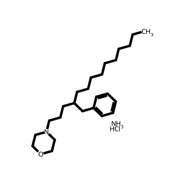 CCCCCCCCCCC(CCCN1CCOCC1)Cc1ccccc1.Cl.N